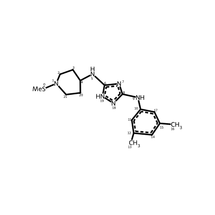 CSN1CCC(Nc2nc(Nc3cc(C)cc(C)c3)n[nH]2)CC1